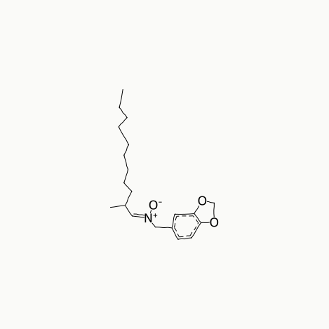 CCCCCCCCCC(C)C=[N+]([O-])Cc1ccc2c(c1)OCO2